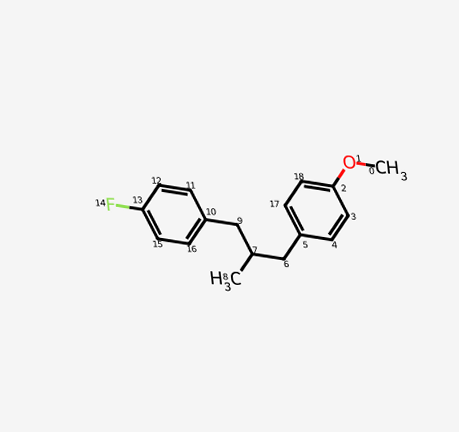 COc1ccc(CC(C)Cc2ccc(F)cc2)cc1